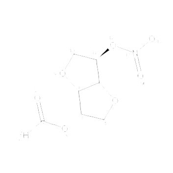 [2H]C(=O)O[C@H]1COC2C1OC[C@H]2O[N+](=O)[O-]